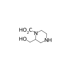 O=C(O)N1CCNCC1CO